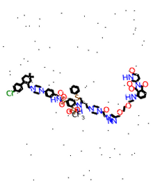 CC1(C)CCC(c2ccc(Cl)cc2)=C(CN2CCN(c3ccc(C(=O)NS(=O)(=O)c4ccc(N[C@H](CCN5CCN(C(=O)Cn6cc(COCCOCCNc7cccc8c7C(=O)N(C7CCC(=O)NC7=O)C8=O)nn6)CC5)CSc5ccccc5)c(S(=O)(=O)C(F)(F)F)c4)cc3)CC2)C1